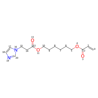 C=CC(=O)OCCCCCCOC(=O)CCn1ccnc1